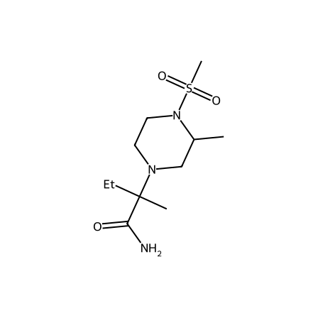 CCC(C)(C(N)=O)N1CCN(S(C)(=O)=O)C(C)C1